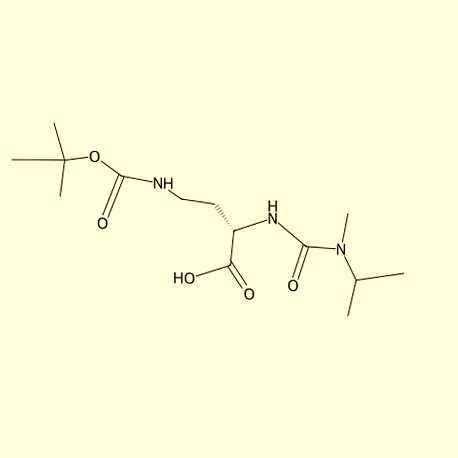 CC(C)N(C)C(=O)N[C@@H](CCNC(=O)OC(C)(C)C)C(=O)O